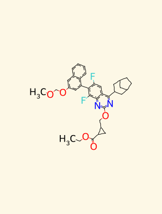 CCOC(=O)C1CC1COc1nc(C2CC3CCC(C3)C2)c2cc(F)c(-c3cc(OCOC)cc4ccccc34)c(F)c2n1